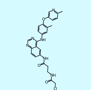 Cc1ccc(Oc2ccc(Nc3ncnc4ccc(NC(=O)CCNC(=O)CCl)cc34)cc2C)cn1